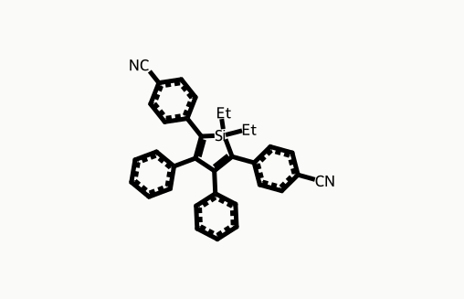 CC[Si]1(CC)C(c2ccc(C#N)cc2)=C(c2ccccc2)C(c2ccccc2)=C1c1ccc(C#N)cc1